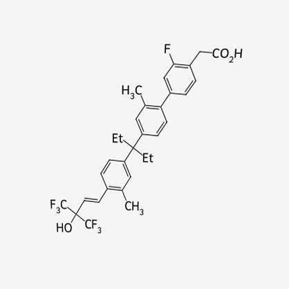 CCC(CC)(c1ccc(C=CC(O)(C(F)(F)F)C(F)(F)F)c(C)c1)c1ccc(-c2ccc(CC(=O)O)c(F)c2)c(C)c1